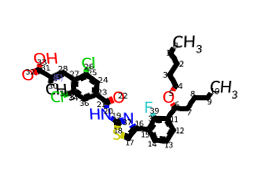 CCCCCOC(CCCC)c1cccc(-c2csc(NC(=O)c3cc(Cl)c(/C=C(\C)C(=O)O)c(Cl)c3)n2)c1F